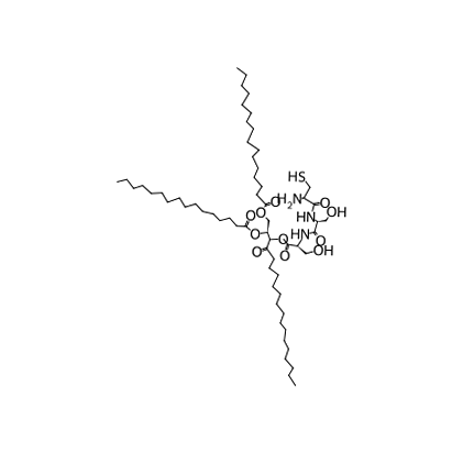 CCCCCCCCCCCCCCCC(=O)OC[C@H](OC(=O)CCCCCCCCCCCCCCC)C(OC(=O)[C@H](CO)NC(=O)[C@H](CO)NC(=O)[C@@H](N)CS)C(=O)CCCCCCCCCCCCCCC